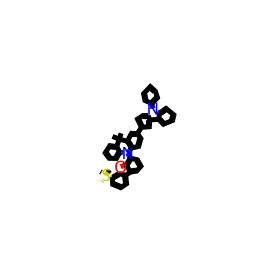 CC1(C)c2ccccc2N(c2cccc3c2oc2c(S(C)(C)C)cccc23)c2ccc(-c3ccc4c(c3)c3ccccc3n4-c3ccccc3)cc21